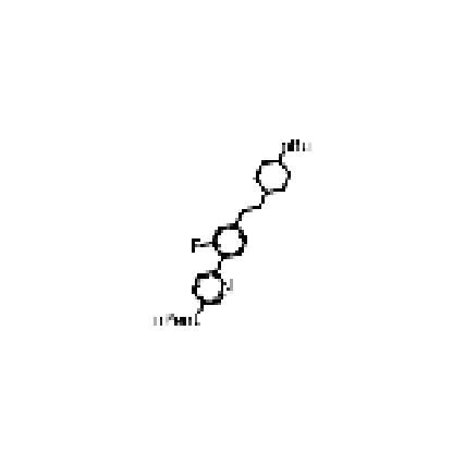 CCCCCc1ccc(-c2ccc(CCC3CCC(CCCC)CC3)cc2F)nc1